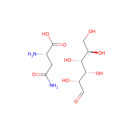 NC(=O)C[C@H](N)C(=O)O.O=C[C@H](O)[C@@H](O)[C@H](O)[C@H](O)CO